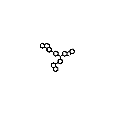 c1cc(-c2cccc3ccccc23)cc(N(c2ccc(-c3ccc4c(ccc5ccccc54)c3)cc2)c2ccc3c(c2)sc2ccccc23)c1